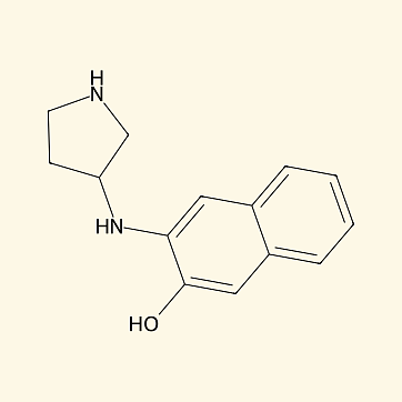 Oc1cc2ccccc2cc1NC1CCNC1